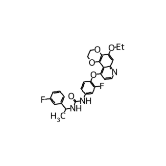 CCOc1cc2nccc(Oc3ccc(NC(=O)NC(C)c4cccc(F)c4)cc3F)c2c2c1OCCO2